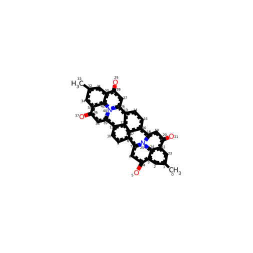 Cc1cc2c(=O)cc3c4ccc5c6c(ccc(c46)c4cc(=O)c(c1)c2n34)c1cc(=O)c2cc(C)cc3c(=O)cc5n1c32